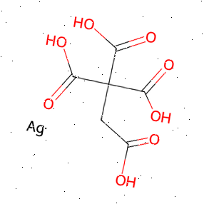 O=C(O)CC(C(=O)O)(C(=O)O)C(=O)O.[Ag]